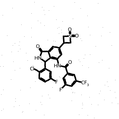 O=C(Nc1cc(C2CS(=O)(=O)C2)cc2c1C(c1cc(F)ccc1Cl)NC2=O)c1cc(F)cc(C(F)(F)F)c1